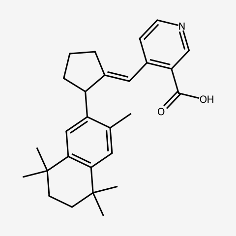 Cc1cc2c(cc1C1CCCC1=Cc1ccncc1C(=O)O)C(C)(C)CCC2(C)C